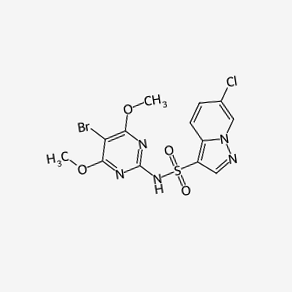 COc1nc(NS(=O)(=O)c2cnn3cc(Cl)ccc23)nc(OC)c1Br